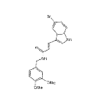 COc1ccc(CNC(=O)/C=C/c2c[nH]c3ncc(Br)cc23)cc1OC